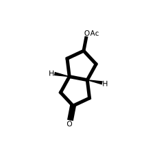 CC(=O)OC1C[C@H]2CC(=O)C[C@H]2C1